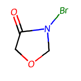 O=C1COCN1Br